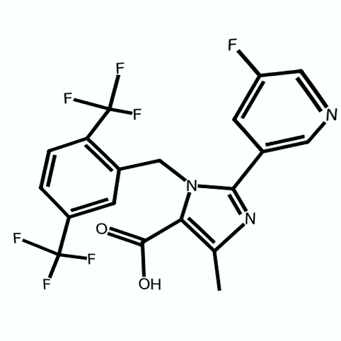 Cc1nc(-c2cncc(F)c2)n(Cc2cc(C(F)(F)F)ccc2C(F)(F)F)c1C(=O)O